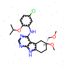 COC[C@]1(OC)CCc2[nH]c3ncnc(Nc4cc(Cl)ccc4OC(C)C)c3c2C1